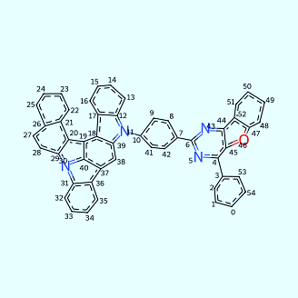 c1ccc(-c2nc(-c3ccc(-n4c5ccccc5c5c6c7c8ccccc8ccc7n7c8ccccc8c(cc54)c67)cc3)nc3c2oc2ccccc23)cc1